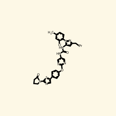 Cc1ccc(-n2nc(CC(C)C)cc2NC(=O)Nc2cnc(Oc3ccc(-c4cnc(N5CCCC5=O)s4)cc3)nc2)c(Cl)c1